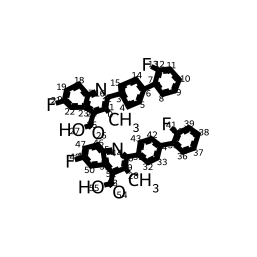 Cc1c(-c2ccc(-c3ccccc3F)cc2)nc2ccc(F)cc2c1C(=O)O.Cc1c(-c2ccc(-c3ccccc3F)cc2)nc2ccc(F)cc2c1C(=O)O